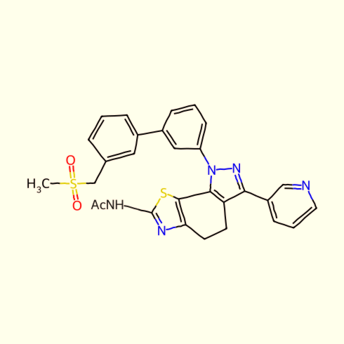 CC(=O)Nc1nc2c(s1)-c1c(c(-c3cccnc3)nn1-c1cccc(-c3cccc(CS(C)(=O)=O)c3)c1)CC2